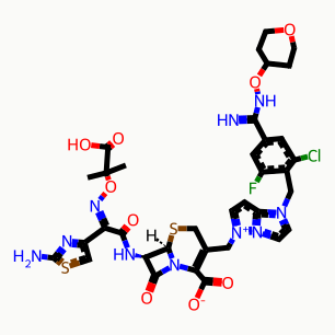 CC(C)(O/N=C(\C(=O)N[C@@H]1C(=O)N2C(C(=O)[O-])=C(C[n+]3ccc4n(Cc5c(F)cc(C(=N)NOC6CCOCC6)cc5Cl)ccn43)CS[C@H]12)c1csc(N)n1)C(=O)O